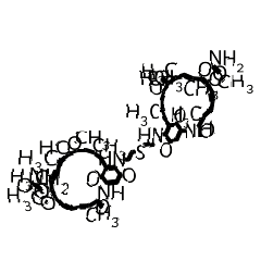 COC1/C=C\C=C(/C)C(=O)NC2=CC(=O)C(NCCSCCNC3=C4CC(C)CC(OC)C(O)C(C)/C=C(\C)C(OC(N)=O)C(OC)/C=C\C=C(/C)C(=O)NC(=CC3=O)C4=O)=C(CC(C)CC(OC)C(O)C(C)/C=C(\C)C1OC(N)=O)C2=O